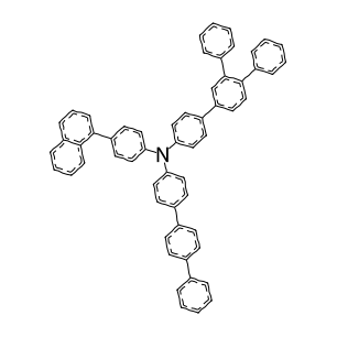 c1ccc(-c2ccc(-c3ccc(N(c4ccc(-c5ccc(-c6ccccc6)c(-c6ccccc6)c5)cc4)c4ccc(-c5cccc6ccccc56)cc4)cc3)cc2)cc1